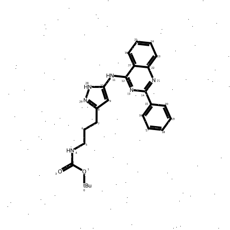 CC(C)(C)OC(=O)NCCCc1cc(Nc2nc(-c3ccccc3)nc3ccccc23)[nH]n1